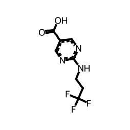 O=C(O)c1cnc(NCCC(F)(F)F)nc1